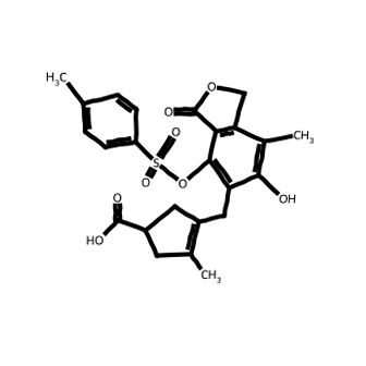 CC1=C(Cc2c(O)c(C)c3c(c2OS(=O)(=O)c2ccc(C)cc2)C(=O)OC3)CC(C(=O)O)C1